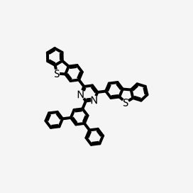 c1ccc(-c2cc(-c3ccccc3)cc(-c3nc(-c4ccc5c(c4)sc4ccccc45)cc(-c4ccc5c(c4)sc4ccccc45)n3)c2)cc1